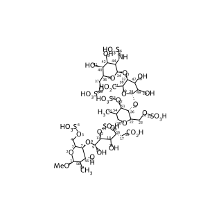 CO[C@H]1OC(COS(=O)(=O)O)[C@@H](O[C@H](O)[C@@H](OS(=O)(=O)O)C(O)[C@@H](CC(=O)O)O[C@H]2OC(COS(=O)(=O)O)[C@@H](O[C@@H]3OC(C(=O)O)[C@@H](O[C@H]4OC(COS(=O)(=O)O)[C@@H](O)C(O)C4NS(=O)(=O)O)C(O)C3O)[C@H](OS(=O)(=O)O)C2C)[C@H](O)C1C